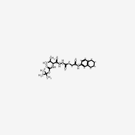 CC(C)[C@H](NC(=O)OC(C)(C)C)C(=O)NNC(=O)SCC(=O)Nc1ccc2c(c1)CCCC2